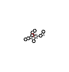 c1ccc(-n2c3ccccc3c3cc4ccccc4cc32)c(-c2nc(-c3ccc4sc5ccccc5c4c3)nc(-c3cccc4ccccc34)n2)c1